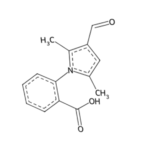 Cc1cc(C=O)c(C)n1-c1ccccc1C(=O)O